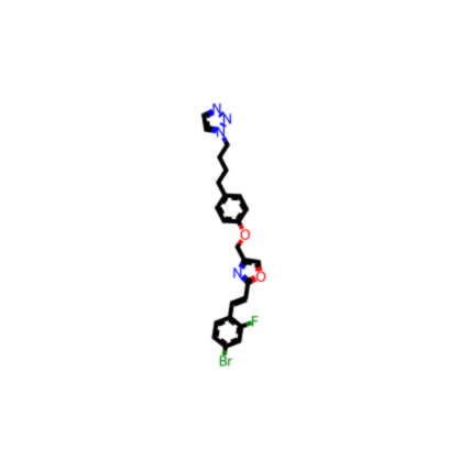 Fc1cc(Br)ccc1/C=C/c1nc(COc2ccc(CCCCn3ccnn3)cc2)co1